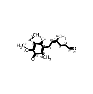 COC1=C(OC)C(=O)C(CC=C(C)CCC=O)=C(C)C1=O